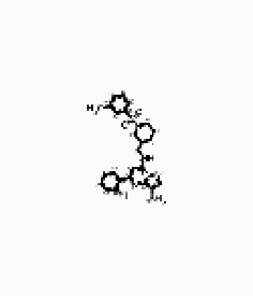 Bc1cnn2c(NCC3CCCN(S(=O)(=O)c4cccc(C)c4)C3)cc(-c3ccccc3Cl)nc12